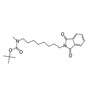 CN(CCCCCCCCN1C(=O)c2ccccc2C1=O)C(=O)OC(C)(C)C